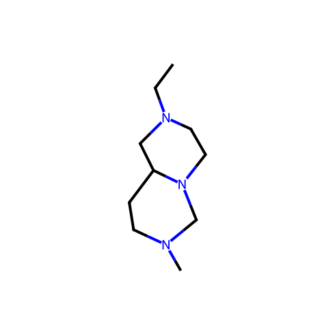 CCN1CCN2CN(C)CCC2C1